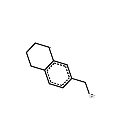 CC(C)Cc1ccc2c(c1)[CH]CCC2